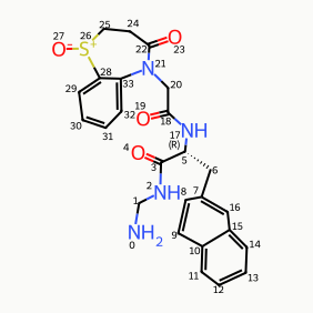 NCNC(=O)[C@@H](Cc1ccc2ccccc2c1)NC(=O)CN1C(=O)CC[S+]([O-])c2ccccc21